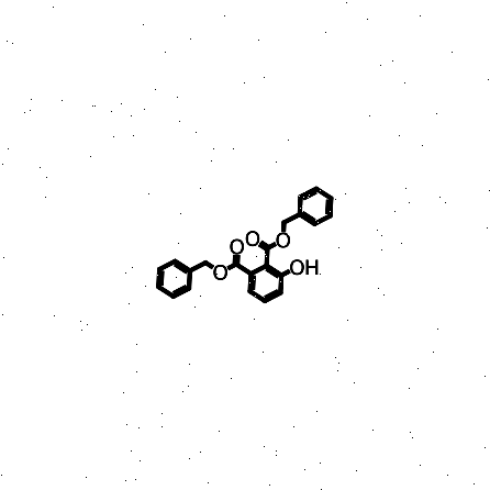 O=C(OCc1ccccc1)c1cccc(O)c1C(=O)OCc1ccccc1